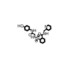 O=C(CNS(=O)(=O)c1ccccc1C(=O)NCc1ccccn1)Nc1ccc(O)cc1